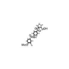 COc1ccc(C(=O)Nc2ccc(S(=O)(=O)N3CCCC3CO)cc2)cc1C